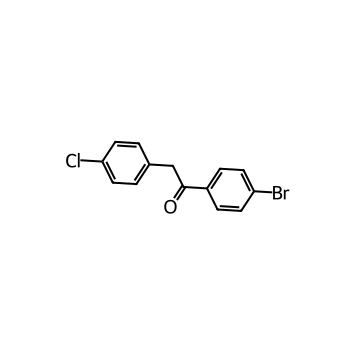 O=C(Cc1ccc(Cl)cc1)c1ccc(Br)cc1